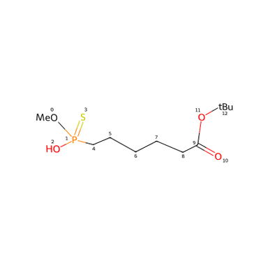 COP(O)(=S)CCCCCC(=O)OC(C)(C)C